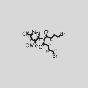 COc1cc(Cl)nnc1N(C(=O)CCCBr)C(=O)CCCBr